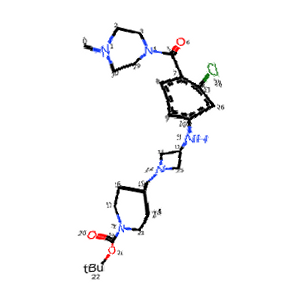 CN1CCN(C(=O)c2ccc(NC3CN(C4CCN(C(=O)OC(C)(C)C)CC4)C3)cc2Cl)CC1